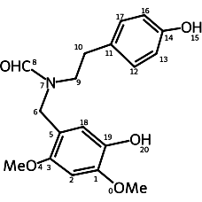 COc1cc(OC)c(CN(C=O)CCc2ccc(O)cc2)cc1O